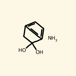 N.OC1(O)Cc2ccc1cc2